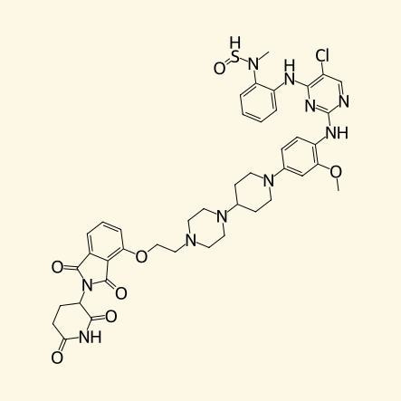 COc1cc(N2CCC(N3CCN(CCOc4cccc5c4C(=O)N(C4CCC(=O)NC4=O)C5=O)CC3)CC2)ccc1Nc1ncc(Cl)c(Nc2ccccc2N(C)[SH]=O)n1